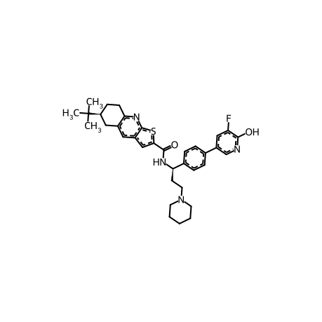 CC(C)(C)[C@H]1CCc2nc3sc(C(=O)N[C@H](CCN4CCCCC4)c4ccc(-c5cnc(O)c(F)c5)cc4)cc3cc2C1